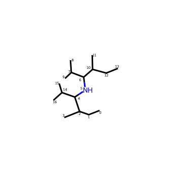 CCC(C)C(NC(C(C)C)C(C)CC)C(C)C